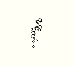 COCCOC(=O)N1CCc2cc(OC)c(C(=O)NC3C=CC=C(c4nnc5n4[C@H](C)CC5)N3)cc2C1